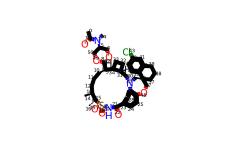 CC(=O)N(C)[C@H]1CO[C@H]([C@@H]2CCC[C@H](C)[C@@H](C)S(=O)(=O)NC(=O)c3ccc4c(c3)N(C[C@@H]3CC[C@H]32)C[C@@]2(CCCc3cc(Cl)ccc32)CO4)OC1